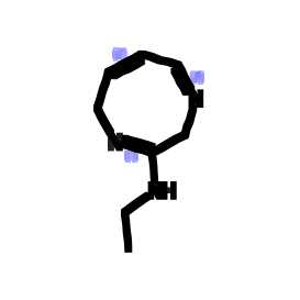 CCN/C1=N/C/C=C\C=N/C1